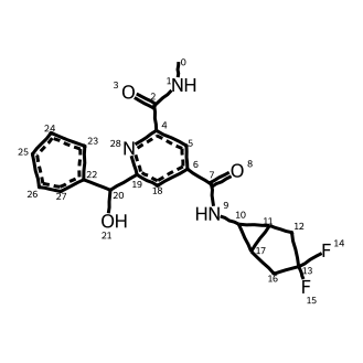 CNC(=O)c1cc(C(=O)NC2C3CC(F)(F)CC32)cc(C(O)c2ccccc2)n1